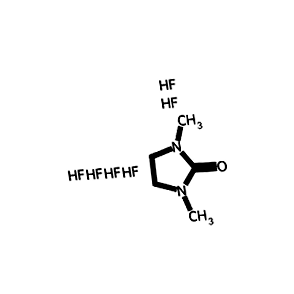 CN1CCN(C)C1=O.F.F.F.F.F.F